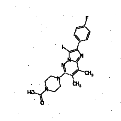 Cc1c(N2CCN(C(=O)O)CC2)nn2c(I)c(-c3ccc(F)cc3)nc2c1C